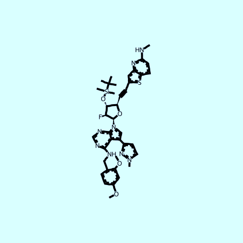 CNc1ccc2sc(C#C[C@H]3O[C@@H](n4cc(-c5ccn(C)n5)c5c(NCc6ccc(OC)cc6OC)ncnc54)[C@@H](F)[C@@H]3O[Si](C)(C)C(C)(C)C)cc2n1